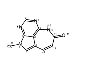 CCn1cc2c3c(ncnc31)NC(=O)C=C2